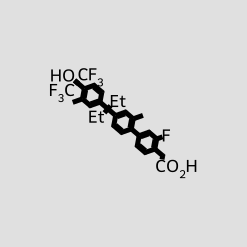 CCC(CC)(c1ccc(-c2ccc(CC(=O)O)c(F)c2)c(C)c1)c1ccc(C(O)(C(F)(F)F)C(F)(F)F)c(C)c1